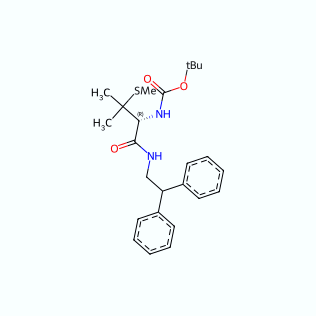 CSC(C)(C)[C@H](NC(=O)OC(C)(C)C)C(=O)NCC(c1ccccc1)c1ccccc1